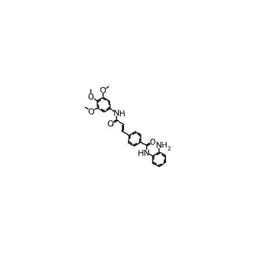 COc1cc(NC(=O)/C=C/c2ccc(C(=O)Nc3ccccc3N)cc2)cc(OC)c1OC